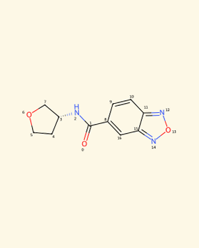 O=C(N[C@@H]1CCOC1)c1ccc2nonc2c1